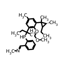 CCC1[C@@H](C)C1(C)c1cc(C)cc(C(C)(CC)Pc2ccccc2/C=N/C)c1OCOC